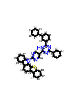 c1ccc(C2=NC(c3cccc(-c4ccccc4)c3)NC(c3cnc(-n4c5ccccc5c5ccc6c7ccccc7sc6c54)nc3)=N2)cc1